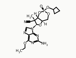 CCOc1nc(N)nc2c1ncn2[C@@H]1O[C@@H]2COP(=O)(OC3CCC3)O[C@H]2[C@@]1(C)C#N